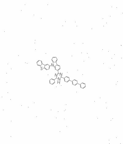 c1ccc(-c2ccc(-c3ccc(C4=NC(c5ccc6c7ccccc7n(-c7ccc8sc9ccccc9c8c7)c6c5)=NC(c5ccccc5)N4)cc3)cc2)cc1